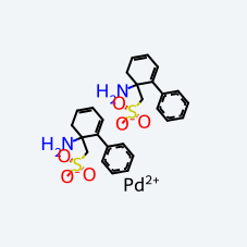 NC1(CS(=O)(=O)[O-])CC=CC=C1c1ccccc1.NC1(CS(=O)(=O)[O-])CC=CC=C1c1ccccc1.[Pd+2]